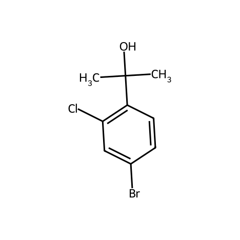 CC(C)(O)c1ccc(Br)cc1Cl